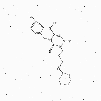 CCSc1nc(=O)n(CCCOC2CCCCO2)c(=O)n1Cc1ccc(Cl)cc1